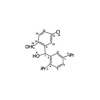 CC(C)c1ccc(C(C)C)c(C(O)c2cc(Cl)ccc2C=O)c1